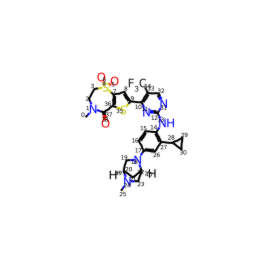 CN1CCS(=O)(=O)c2cc(-c3nc(Nc4ccc(N5C[C@H]6C[C@@H]5CN6C)cc4C4CC4)ncc3C(F)(F)F)sc2C1=O